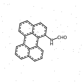 O=CNc1ccc2cccc3c4cccc5cccc(c1c23)c54